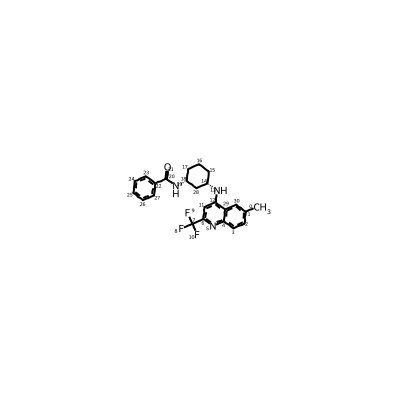 Cc1ccc2nc(C(F)(F)F)cc(N[C@H]3CCC[C@@H](NC(=O)c4ccccc4)C3)c2c1